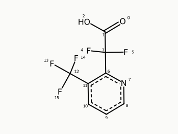 O=C(O)C(F)(F)c1ncccc1C(F)(F)F